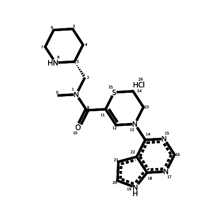 CN(C[C@H]1CCCCN1)C(=O)C1=CN(c2ncnc3[nH]ccc23)CCS1.Cl